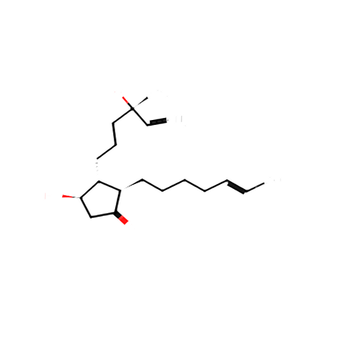 C=C[C@](O)(CCCC)CCC[C@H]1[C@H](O)CC(=O)[C@@H]1CCCCC=CC(=O)O